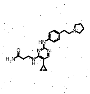 NC(=O)CCNc1nc(Nc2ccc(CCN3CCCC3)cc2)ncc1C1CC1